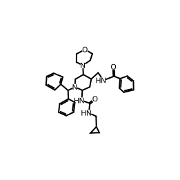 O=C(NCC1CC1)NC1CC(CNC(=O)c2ccccc2)C(N2CCOCC2)CN1C(c1ccccc1)c1ccccc1